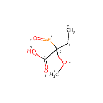 CCC(OC)(P=O)C(=O)O